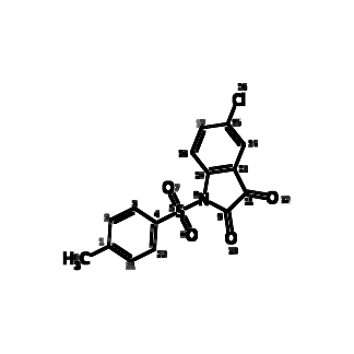 Cc1ccc(S(=O)(=O)N2C(=O)C(=O)c3cc(Cl)ccc32)cc1